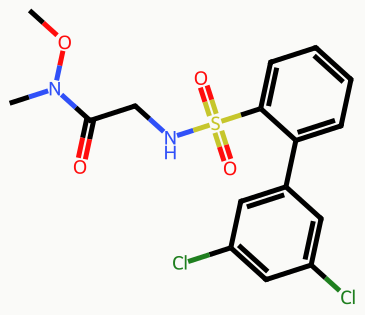 CON(C)C(=O)CNS(=O)(=O)c1ccccc1-c1cc(Cl)cc(Cl)c1